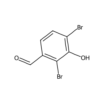 O=Cc1ccc(Br)c(O)c1Br